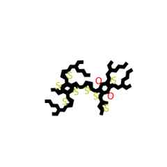 CCCCC(CC)Cc1ccc(-c2c3cc(-c4ccc(-c5sc(-c6csc(C)c6)c6c5C(=O)c5c(CC(CC)CCCC)sc(CC(CC)CCCC)c5C6=O)s4)sc3c(-c3ccc(CC(CC)CCCC)s3)c3cc(C)sc23)s1